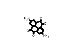 Nc1cc2c3c(c1)c(=O)c(=O)c1cc(N)cc(c1-3)c(=O)c2=O